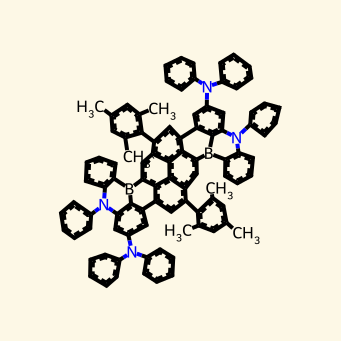 Cc1cc(C)c(-c2cc3c4c(cc5c(-c6c(C)cc(C)cc6C)cc6c7c(cc2c4c57)B2c4ccccc4N(c4ccccc4)c4cc(N(c5ccccc5)c5ccccc5)cc-6c42)B2c4ccccc4N(c4ccccc4)c4cc(N(c5ccccc5)c5ccccc5)cc-3c42)c(C)c1